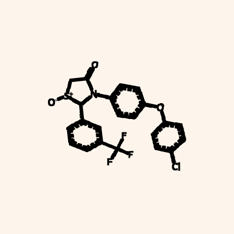 O=C1C[S+]([O-])C(c2cccc(C(F)(F)F)c2)N1c1ccc(Oc2ccc(Cl)cc2)cc1